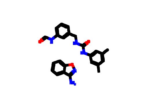 Cc1cc(C)cc(NC(=O)NCc2cccc(NC=O)c2)c1.Nc1noc2ccccc12